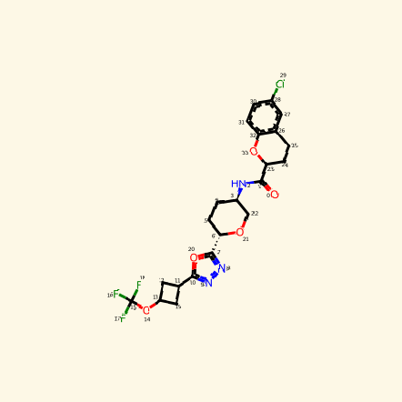 O=C(N[C@@H]1CC[C@@H](c2nnc(C3CC(OC(F)(F)F)C3)o2)OC1)C1CCc2cc(Cl)ccc2O1